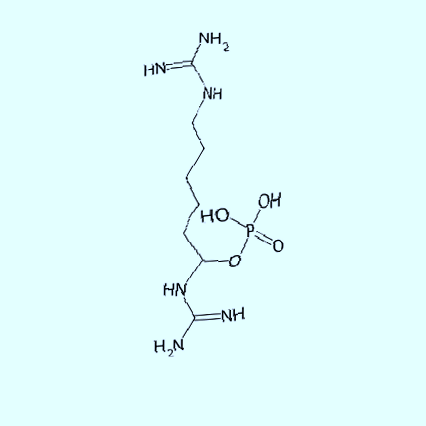 N=C(N)NCCCCCC(NC(=N)N)OP(=O)(O)O